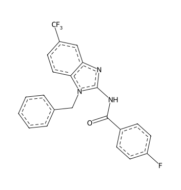 O=C(Nc1nc2cc(C(F)(F)F)ccc2n1Cc1ccccc1)c1ccc(F)cc1